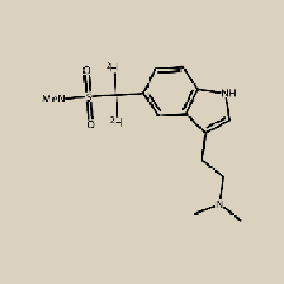 [2H]C([2H])(c1ccc2[nH]cc(CCN(C)C)c2c1)S(=O)(=O)NC